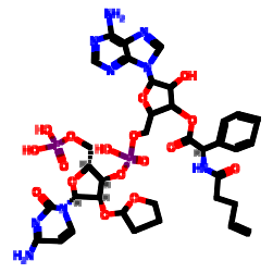 C=CCCC(=O)N[C@@H](C(=O)OC1C(COP(=O)(O)O[C@H]2[C@@H](OC3CCCO3)[C@H](n3ccc(N)nc3=O)O[C@@H]2COP(=O)(O)O)OC(n2cnc3c(N)ncnc32)C1O)c1ccccc1